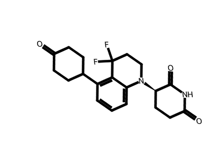 O=C1CCC(c2cccc3c2C(F)(F)CCN3[C@@H]2CCC(=O)NC2=O)CC1